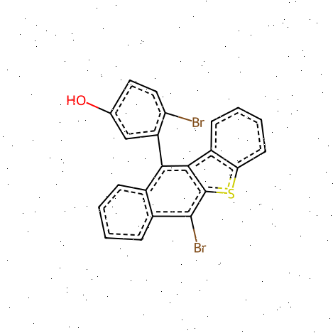 Oc1ccc(Br)c(-c2c3ccccc3c(Br)c3sc4ccccc4c23)c1